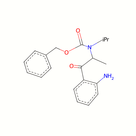 CC(C)N(C(=O)OCc1ccccc1)C(C)C(=O)c1ccccc1N